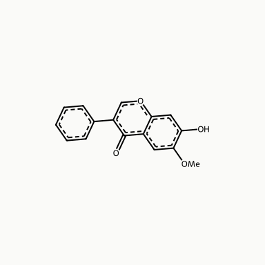 COc1cc2c(=O)c(-c3ccccc3)coc2cc1O